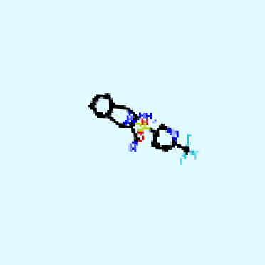 N=CC1=C(N)C2c3ccccc3C1N2S(=O)(=O)c1ccc(C(F)(F)F)nc1